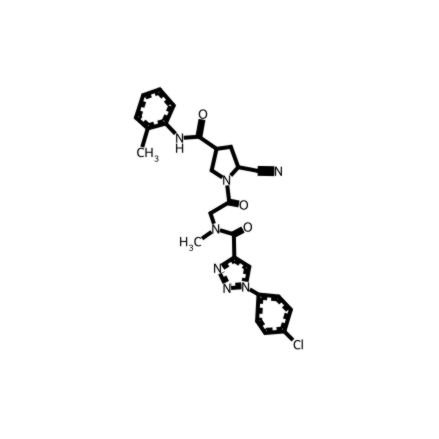 Cc1ccccc1NC(=O)C1CC(C#N)N(C(=O)CN(C)C(=O)c2cn(-c3ccc(Cl)cc3)nn2)C1